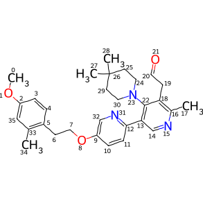 COc1ccc(CCOc2ccc(-c3cnc(C)c(CC=O)c3N3CCC(C)(C)CC3)nc2)c(C)c1